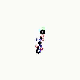 O=C(COc1ccc(Cl)c(F)c1)NC12CC(NC(=O)c3cccc[n+]3[O-])(C1)C2